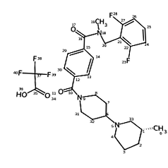 C[C@@H]1CCCN(C2CCN(C(=O)c3ccc(C(=O)N(C)Cc4c(F)cccc4F)cc3)CC2)C1.O=C(O)C(F)(F)F